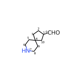 O=CC1CCC2(CCNCC2)C1